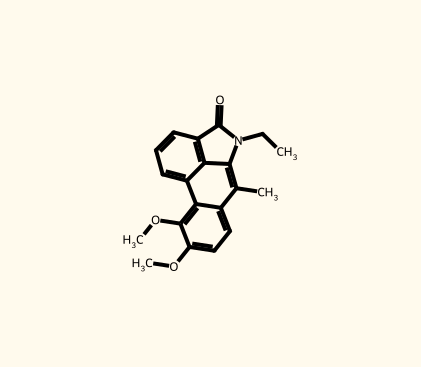 CCN1C(=O)c2cccc3c2c1c(C)c1ccc(OC)c(OC)c13